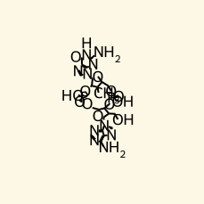 CC1C2COP(=O)(O)OC3C(COP(=O)(O)OC1C(n1cnc4c(=O)[nH]c(N)nc41)O2)OC(n1cnc2c(N)ncnc21)C3CO